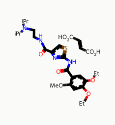 CCOc1cc(OC)c(C(=O)Nc2nc(C(=O)NCCN(C(C)C)C(C)C)cs2)cc1OCC.O=C(O)C=CC(=O)O